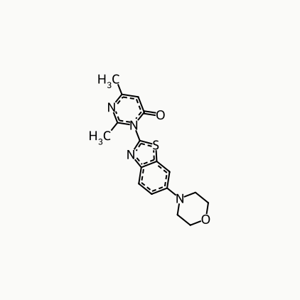 Cc1cc(=O)n(-c2nc3ccc(N4CCOCC4)cc3s2)c(C)n1